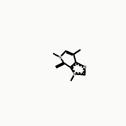 C=C1c2c(ncn2C)C(C)=CN1C